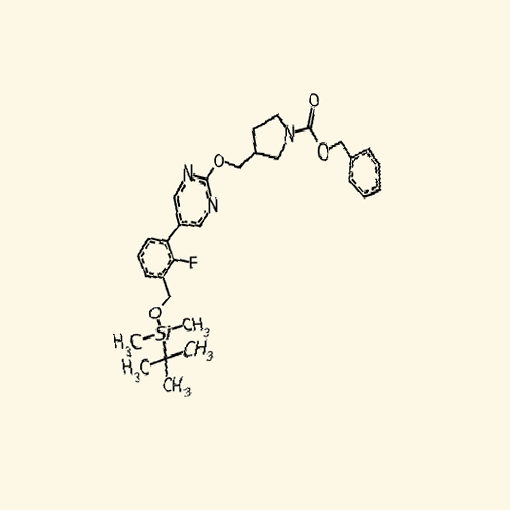 CC(C)(C)[Si](C)(C)OCc1cccc(-c2cnc(OCC3CCN(C(=O)OCc4ccccc4)C3)nc2)c1F